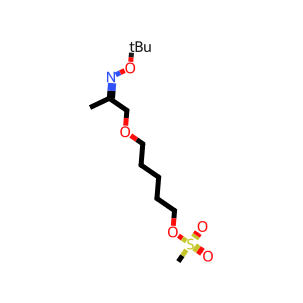 CC(COCCCCCOS(C)(=O)=O)=NOC(C)(C)C